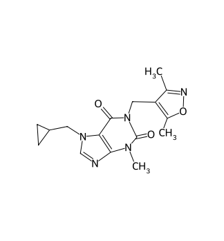 Cc1noc(C)c1Cn1c(=O)c2c(ncn2CC2CC2)n(C)c1=O